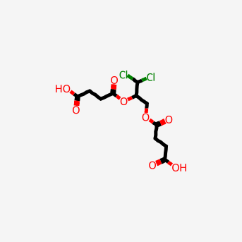 O=C(O)CCC(=O)OCC(OC(=O)CCC(=O)O)C(Cl)Cl